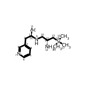 CC(=O)[C@H](Cc1cccnc1)NC[C@@H](N)C[Si](C)(C)C